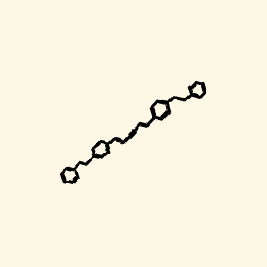 C(#CC=Cc1ccc(CCc2ccccc2)cc1)C=Cc1ccc(CCc2ccccc2)cc1